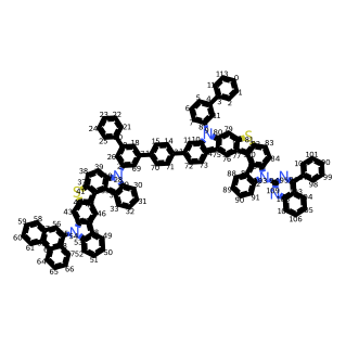 c1ccc(-c2cccc(-n3c4cc(-c5ccc(-c6cc(-c7ccccc7)cc(-n7c8ccccc8c8c9c(ccc87)sc7cc8c(cc79)c7ccccc7n8-c7cc8ccccc8c8ccccc78)c6)cc5)ccc4c4cc5c(cc43)sc3ccc4c(c6ccccc6n4-c4nc(-c6ccccc6)c6ccccc6n4)c35)c2)cc1